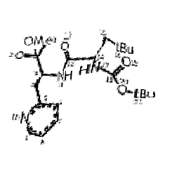 COC(=O)[C@H](Cc1ccccn1)NC(=O)[C@@H](CC(C)(C)C)NC(=O)OC(C)(C)C